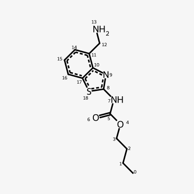 CCCCOC(=O)Nc1nc2c(CN)cccc2s1